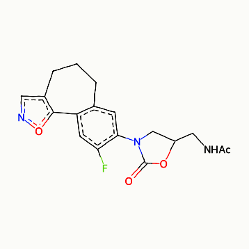 CC(=O)NCC1CN(c2cc3c(cc2F)-c2oncc2CCC3)C(=O)O1